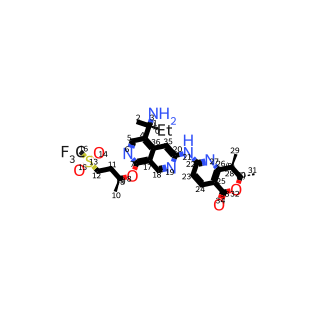 CC[C@@](C)(N)c1cnc(O[C@@H](C)CCS(=O)(=O)C(F)(F)F)c2cnc(Nc3ccc4c(n3)[C@@H](C)[C@H](C)OC4=O)cc12